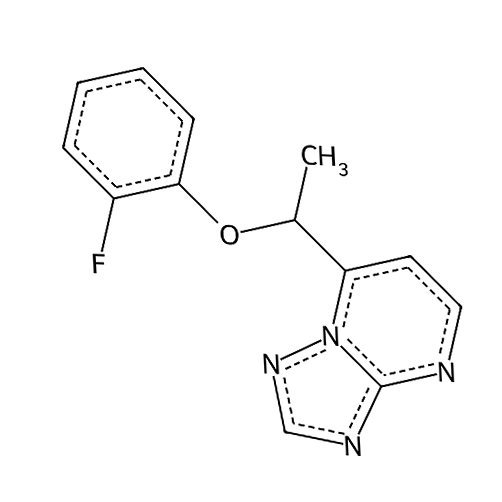 CC(Oc1ccccc1F)c1ccnc2ncnn12